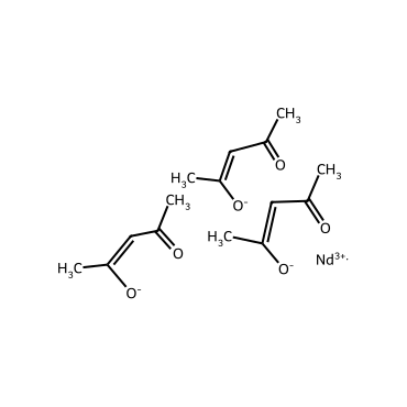 CC(=O)C=C(C)[O-].CC(=O)C=C(C)[O-].CC(=O)C=C(C)[O-].[Nd+3]